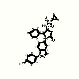 O=C1CC(NS(=O)(=O)C2CC2)C(c2ccccc2)N1c1ccc2c(cnn2-c2ccc(F)cc2)c1